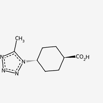 Cc1nnnn1[C@H]1CC[C@H](C(=O)O)CC1